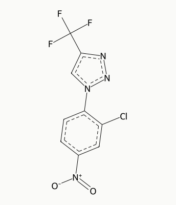 O=[N+]([O-])c1ccc(-n2cc(C(F)(F)F)nn2)c(Cl)c1